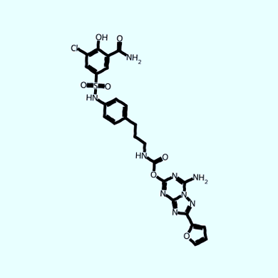 NC(=O)c1cc(S(=O)(=O)Nc2ccc(CCCNC(=O)Oc3nc(N)n4nc(-c5ccco5)nc4n3)cc2)cc(Cl)c1O